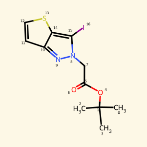 CC(C)(C)OC(=O)Cn1nc2ccsc2c1I